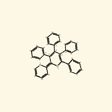 C1=COC(=C2OC(c3ccccc3)=C(c3ccccc3)C(c3ccccc3)=C2c2ccccc2)C=C1